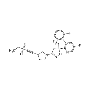 CCS(=O)(=O)[N+]#CC1CCN(C2=NOC(CF)(c3ncc(F)cc3-c3c(F)cccc3F)C2)C1